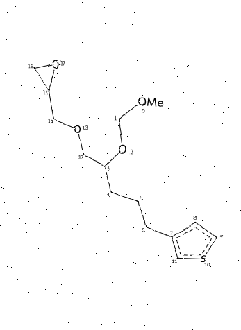 COCOC(CCCc1ccsc1)COCC1CO1